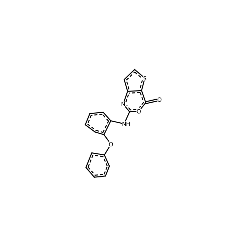 O=c1oc(Nc2ccccc2Oc2ccccc2)nc2ccsc12